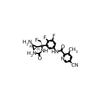 Cc1cc(C#N)cnc1C(=O)Nc1cc(F)c(F)c([C@@](CF)(NC(N)=O)[C@H]2C[C@H]2N)c1